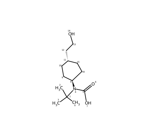 CC(C)(C)N(C(=O)O)[C@H]1CC[C@H](CCO)CC1